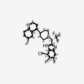 Fc1ccc2nccc(C3CCN([C@@H](c4nc5cc(F)c(F)c(Cl)c5[nH]4)C(F)(F)F)CC3)c2c1